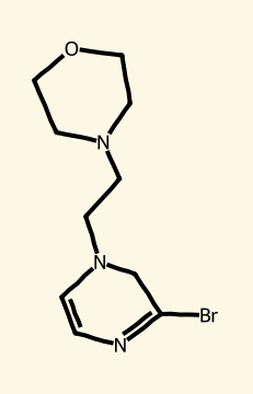 BrC1=NC=CN(CCN2CCOCC2)C1